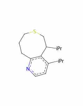 CC(C)c1ccnc2c1C(C(C)C)CSCCC2